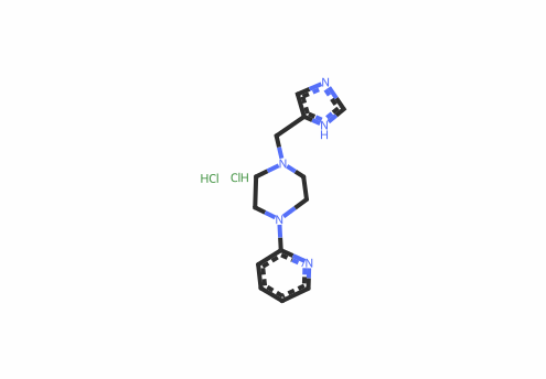 Cl.Cl.c1ccc(N2CCN(Cc3cnc[nH]3)CC2)nc1